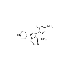 Nc1ccc(-c2cc(C3CCNCC3)n3ncnc(N)c23)c(F)c1